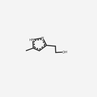 Cc1cc(CCO)n[nH]1